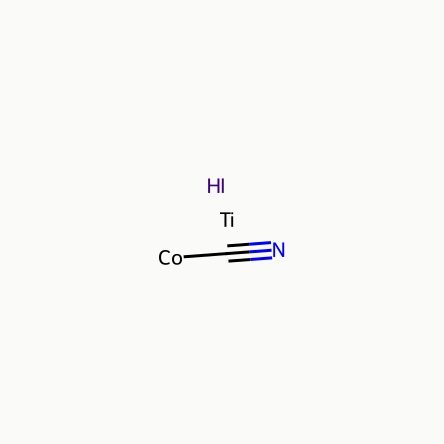 I.N#[C][Co].[Ti]